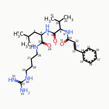 CC(C)CC(NC(=O)C(NC(=O)/C=C/c1ccccc1)C(C)C)C(=O)NCCCCNC(=N)N